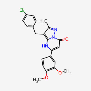 COc1ccc(-c2cc(=O)n3nc(C)c(Cc4ccc(Cl)cc4)c3[nH]2)cc1OC